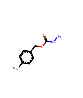 CSc1ccc(COC(=S)NN)cc1